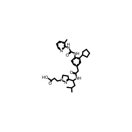 Cc1cccnc1NC(=O)Nc1ccc(CC(=O)NC(CC(C)C)C2=NN(CCC(=O)O)CC2)cc1C1CCCC1